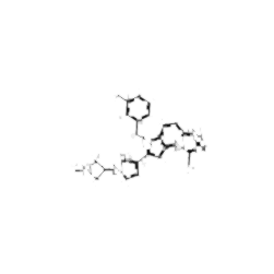 Cc1cccc(Cn2c(-c3ccn(C4CN(C)C4)n3)cc3c2ccc2nnc(C)n23)c1